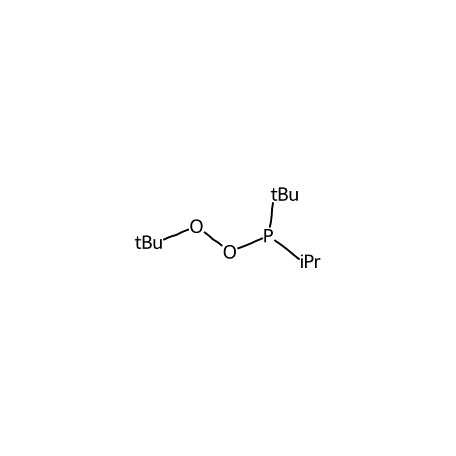 CC(C)P(OOC(C)(C)C)C(C)(C)C